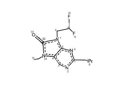 CC(C)c1ncc2c(n1)n(CC(F)F)c(=O)n2C